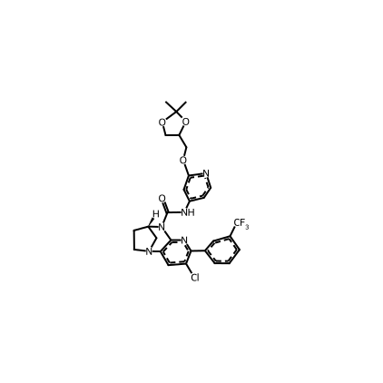 CC1(C)OCC(COc2cc(NC(=O)N3c4nc(-c5cccc(C(F)(F)F)c5)c(Cl)cc4N4CC[C@H]3C4)ccn2)O1